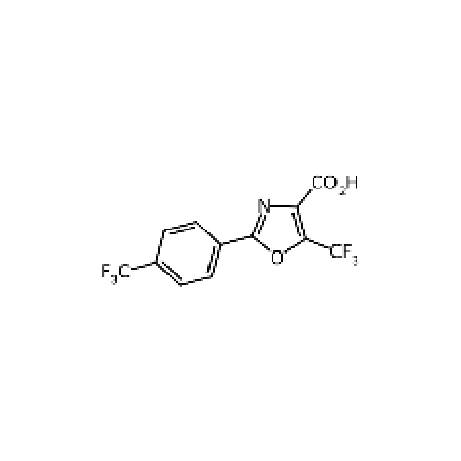 O=C(O)c1nc(-c2ccc(C(F)(F)F)cc2)oc1C(F)(F)F